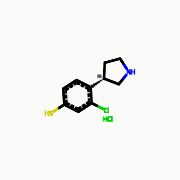 Cl.Sc1ccc([C@@H]2CCNC2)c(Cl)c1